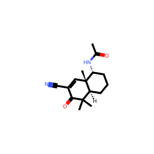 CC(=O)N[C@@H]1CCC[C@H]2C(C)(C)C(=O)C(C#N)=C[C@]12C